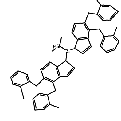 Cc1ccccc1Cc1ccc2c(c1Cc1ccccc1C)C=C[CH]2[Zr]([CH]1C=Cc2c1ccc(Cc1ccccc1C)c2Cc1ccccc1C)[SiH](C)C